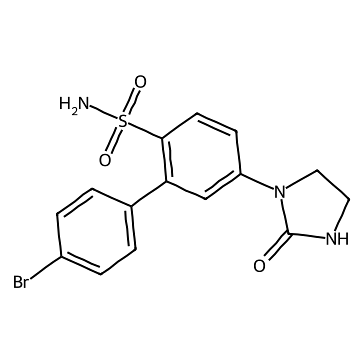 NS(=O)(=O)c1ccc(N2CCNC2=O)cc1-c1ccc(Br)cc1